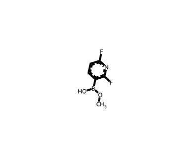 COB(O)c1ccc(F)nc1F